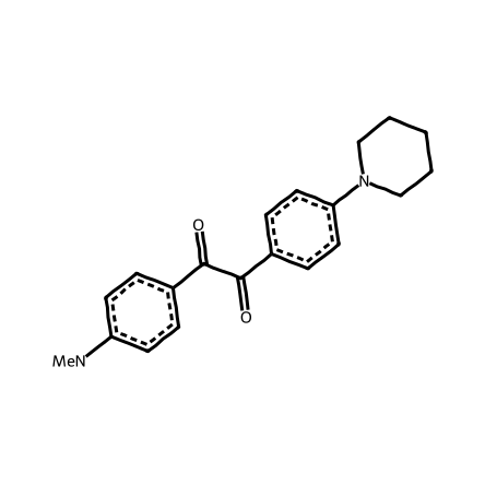 CNc1ccc(C(=O)C(=O)c2ccc(N3CCCCC3)cc2)cc1